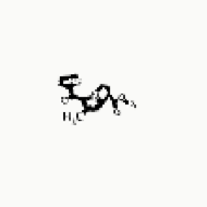 Cc1cc2n(c1C(=O)c1cccs1)CCC2C(=O)OC(C)C